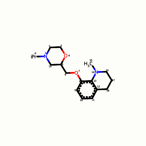 CC(C)N1CCOC(COc2cccc3c2N(C)CCC3)C1